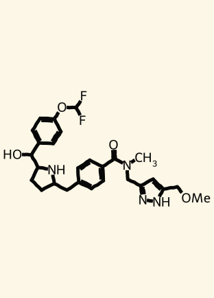 COCc1cc(CN(C)C(=O)c2ccc(CC3CCC(C(O)c4ccc(OC(F)F)cc4)N3)cc2)n[nH]1